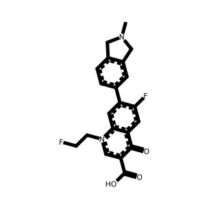 CN1Cc2ccc(-c3cc4c(cc3F)c(=O)c(C(=O)O)cn4CCF)cc2C1